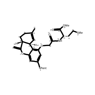 C=C1Oc2cc(CCCCC)cc(OCC(=O)N[C@@H](CCSC)C(=O)OC)c2[C@@H]2C=C(C)CC[C@@H]12